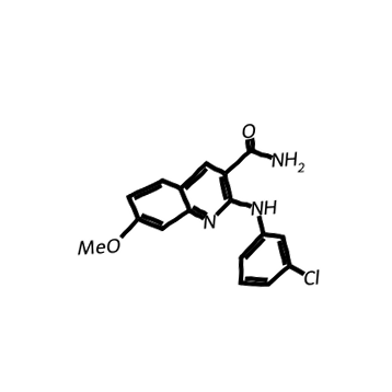 COc1ccc2cc(C(N)=O)c(Nc3cccc(Cl)c3)nc2c1